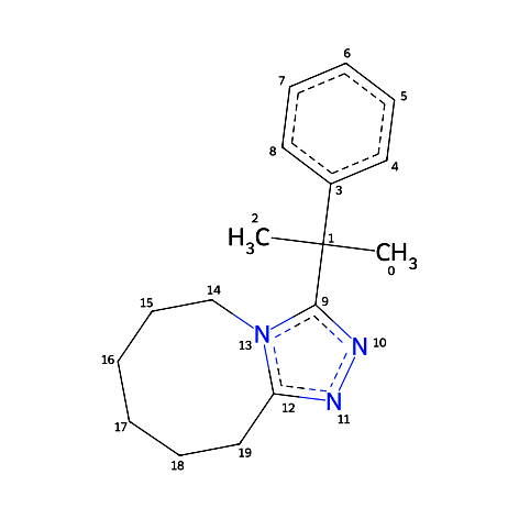 CC(C)(c1ccccc1)c1nnc2n1CCCCCC2